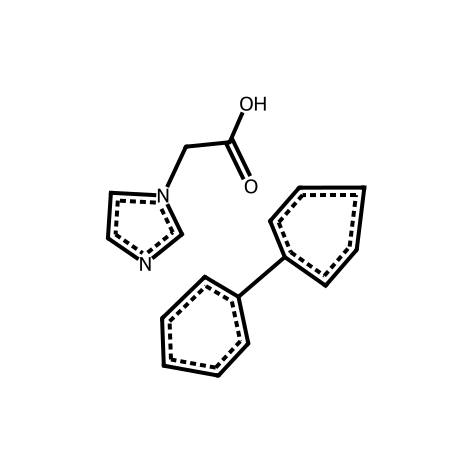 O=C(O)Cn1ccnc1.c1ccc(-c2ccccc2)cc1